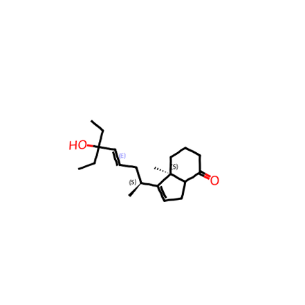 CCC(O)(/C=C/C[C@H](C)C1=CCC2C(=O)CCC[C@]12C)CC